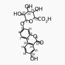 O=C(O)C1OC(Oc2ccc3c(c2)oc(=O)c2cc(O)ccc23)C(O)C(O)C1O